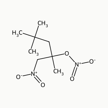 CC(C)(C)CC(C)(C[N+](=O)[O-])O[N+](=O)[O-]